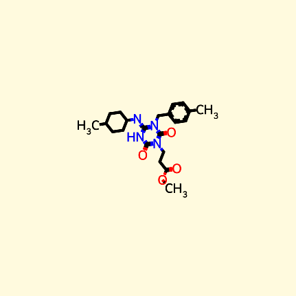 COC(=O)CCn1c(=O)[nH]/c(=N\C2CCC(C)CC2)n(Cc2ccc(C)cc2)c1=O